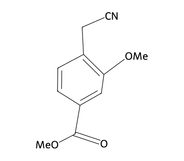 COC(=O)c1ccc(CC#N)c(OC)c1